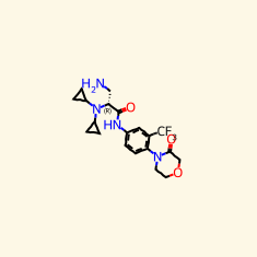 NC[C@H](C(=O)Nc1ccc(N2CCOCC2=O)c(C(F)(F)F)c1)N(C1CC1)C1CC1